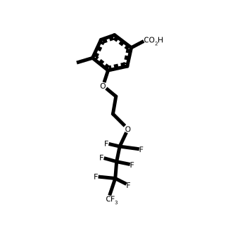 Cc1ccc(C(=O)O)cc1OCCOC(F)(F)C(F)(F)C(F)(F)C(F)(F)F